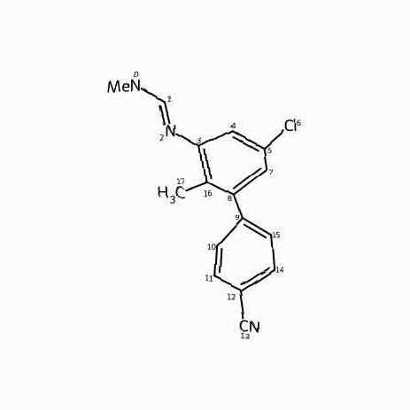 CNC=Nc1cc(Cl)cc(-c2ccc(C#N)cc2)c1C